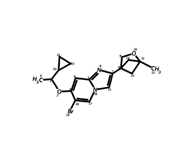 CC(Oc1cc2nc(C34COC(C)(C3)C4)cn2cc1Br)C1CC1